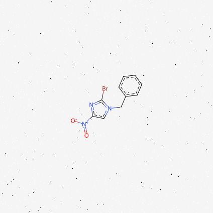 O=[N+]([O-])c1cn(Cc2ccccc2)c(Br)n1